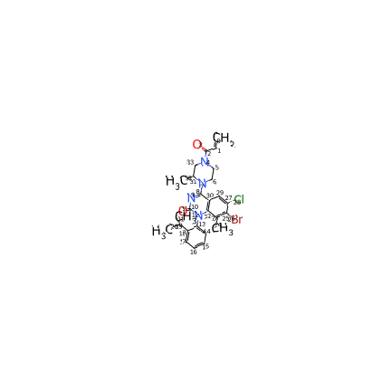 C=CC(=O)N1CCN(c2nc(=O)n(-c3ccccc3C(C)C)c3c(C)c(Br)c(Cl)cc23)[C@@H](C)C1